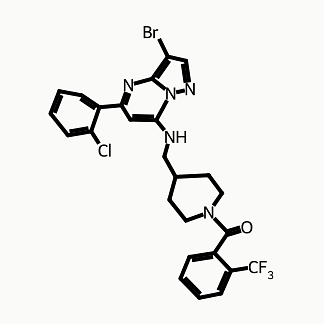 O=C(c1ccccc1C(F)(F)F)N1CCC(CNc2cc(-c3ccccc3Cl)nc3c(Br)cnn23)CC1